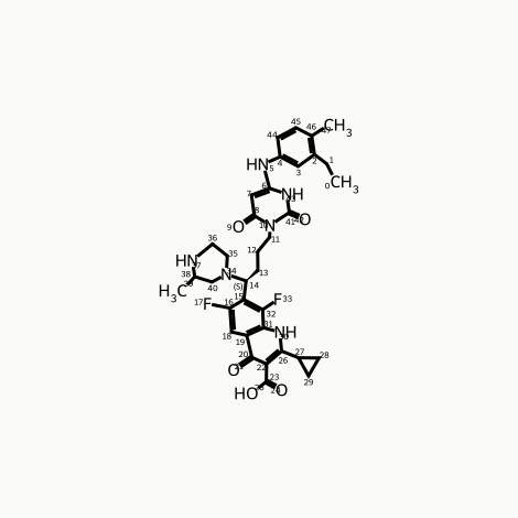 CCc1cc(Nc2cc(=O)n(CCC[C@@H](c3c(F)cc4c(=O)c(C(=O)O)c(C5CC5)[nH]c4c3F)N3CCNC(C)C3)c(=O)[nH]2)ccc1C